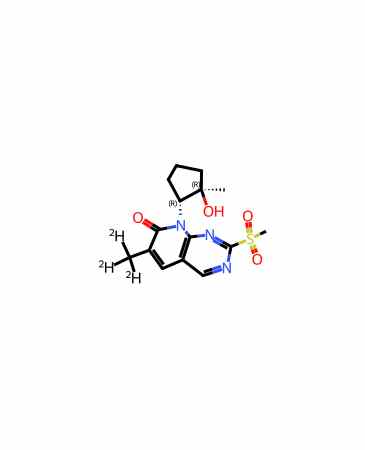 [2H]C([2H])([2H])c1cc2cnc(S(C)(=O)=O)nc2n([C@@H]2CCC[C@@]2(C)O)c1=O